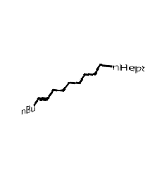 CCCC/C=C/CCCCCCCCCCCCCC